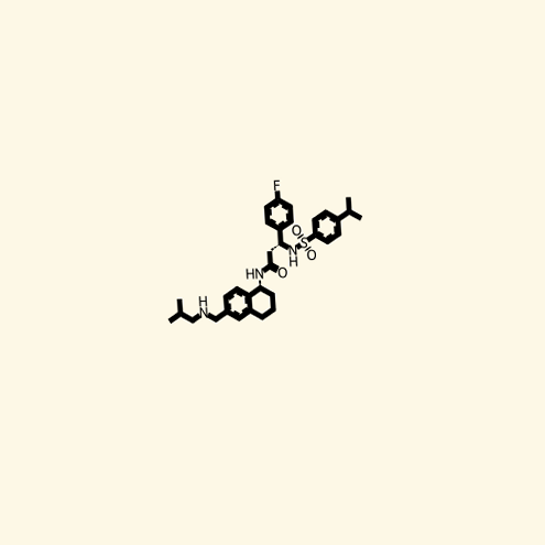 CC(C)CNCc1ccc2c(c1)CCC[C@H]2NC(=O)C[C@@H](NS(=O)(=O)c1ccc(C(C)C)cc1)c1ccc(F)cc1